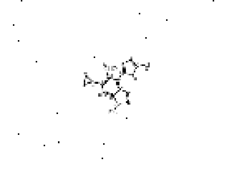 CCn1ncc2c(-c3ccc(Cl)s3)c(C=O)c(C3CC3)nc21